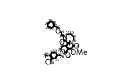 COc1c2c(c3n(c1=O)CCCCN(CCOCc1ccccc1)C3=O)CCN(Cc1ccc(F)c(Cl)c1)C2=O